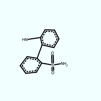 [NH]c1ccccc1-c1ccccc1S(N)(=O)=O